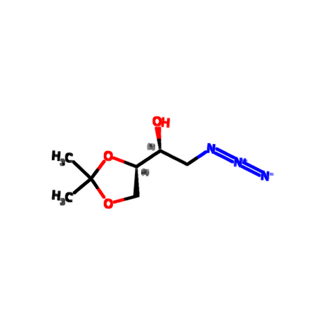 CC1(C)OC[C@H]([C@@H](O)CN=[N+]=[N-])O1